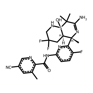 Cc1cc(C#N)cnc1C(=O)Nc1ccc(F)c([C@@]2(C)N=C(N)C(C)(C)S3(O)NCC(F)(F)C[C@H]23)n1